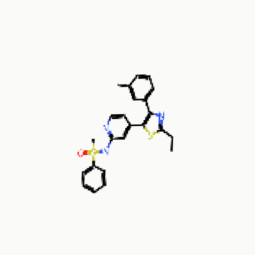 CCc1nc(-c2cccc(C)c2)c(-c2ccnc(N=[S@@](C)(=O)c3ccccc3)c2)s1